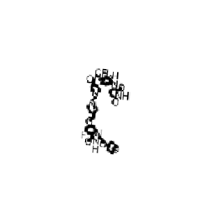 CN(C(=O)C1CCN(CCN2CCC(COc3cc(F)c4c(=O)[nH]c(COC5CCOCC5)nc4c3)CC2)CC1)c1ccc(NC2CCC(=O)NC2=O)cc1F